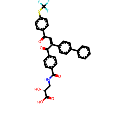 O=C(/C=C(\C(=O)c1ccc(C(=O)NC[C@@H](O)C(=O)O)cc1)c1ccc(-c2ccccc2)cc1)c1ccc(SC(F)(F)F)cc1